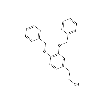 OCCc1ccc(OCc2ccccc2)c(OCc2ccccc2)c1